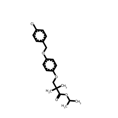 CC(C)OC(=O)C(C)(C)COc1ccc(OCc2ccc(Cl)cc2)cc1